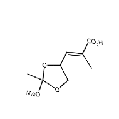 COC1(C)OCC(C=C(C)C(=O)O)O1